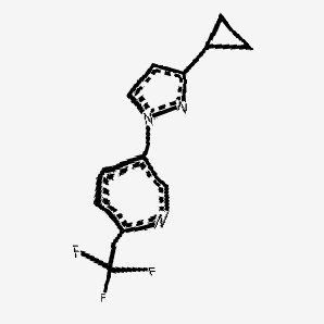 FC(F)(F)c1ccc(-n2ccc(C3CC3)n2)cn1